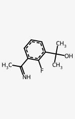 CC(=N)c1cccc(C(C)(C)O)c1F